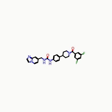 O=C(NCc1ccn2ccnc2c1)Nc1ccc(C2CCN(C(=O)c3cc(F)cc(F)c3)CC2)cc1